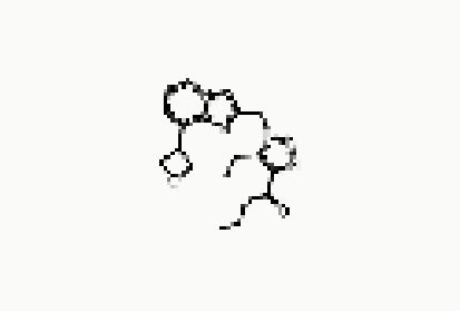 CCOC(=O)c1nnn(Cc2cn3cccc(C4COC4)c3n2)c1CC